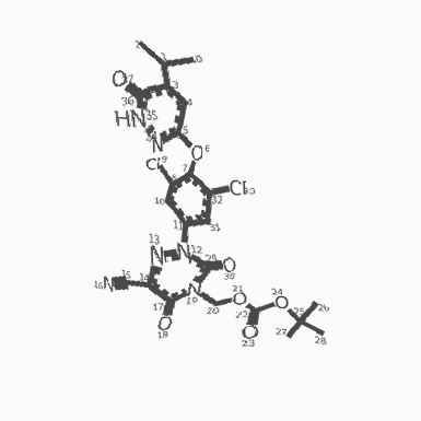 CC(C)c1cc(Oc2c(Cl)cc(-n3nc(C#N)c(=O)n(COC(=O)OC(C)(C)C)c3=O)cc2Cl)n[nH]c1=O